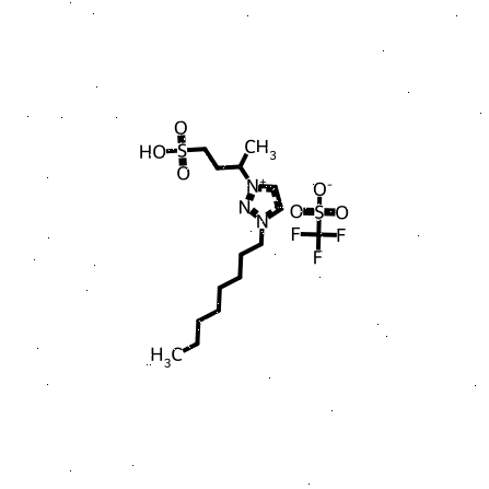 CCCCCCCCn1cc[n+](C(C)CCS(=O)(=O)O)n1.O=S(=O)([O-])C(F)(F)F